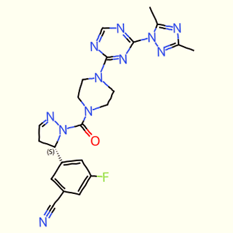 Cc1nc(C)n(-c2ncnc(N3CCN(C(=O)N4N=CC[C@H]4c4cc(F)cc(C#N)c4)CC3)n2)n1